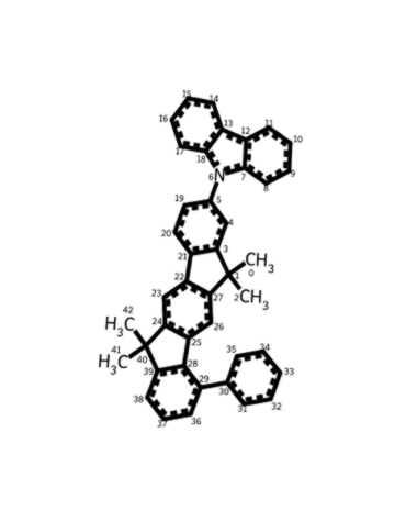 CC1(C)c2cc(-n3c4ccccc4c4ccccc43)ccc2-c2cc3c(cc21)-c1c(-c2ccccc2)cccc1C3(C)C